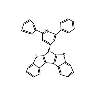 c1ccc(-c2cc(-p3c4sc5ccccc5c4c4c5ccccc5sc43)cc(-c3ccccc3)n2)cc1